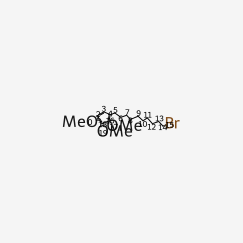 COc1ccc(CCCCCCCCCCBr)c(OC)c1OC